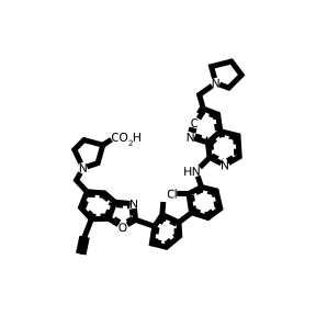 C#Cc1cc(CN2CCC(C(=O)O)C2)cc2nc(-c3cccc(-c4cccc(Nc5nccc6cc(CN7CCCC7)cnc56)c4Cl)c3C)oc12